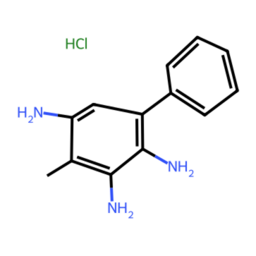 Cc1c(N)cc(-c2ccccc2)c(N)c1N.Cl